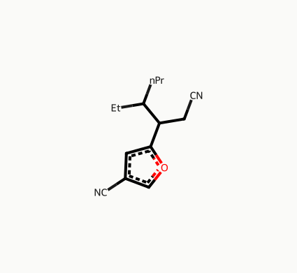 CCCC(CC)C(CC#N)c1cc(C#N)co1